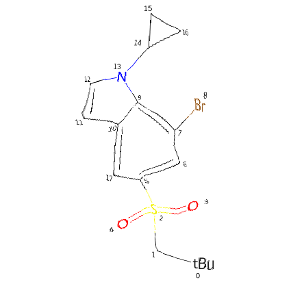 CC(C)(C)CS(=O)(=O)c1cc(Br)c2c(ccn2C2CC2)c1